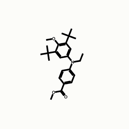 CCN(c1ccc(C(=O)OC)cc1)c1cc(C(C)(C)C)c(OC)c(C(C)(C)C)c1